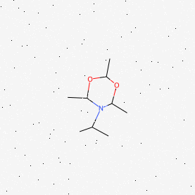 CC1OC(C)N(C(C)C)C(C)O1